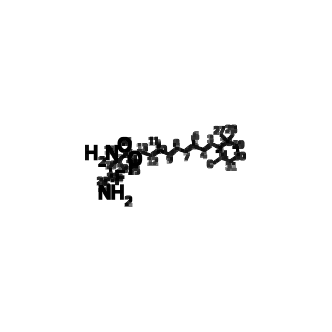 CC1=C(/C=C/C(C)=C/C=C/C(C)=C/COC(=O)C(N)(CCCN)C(F)F)C(C)(C)CCC1